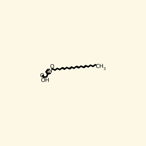 CCCCC/C=C/C/C=C/C/C=C/C/C=C/CCCC(=O)n1ccc(CC(=O)O)c1